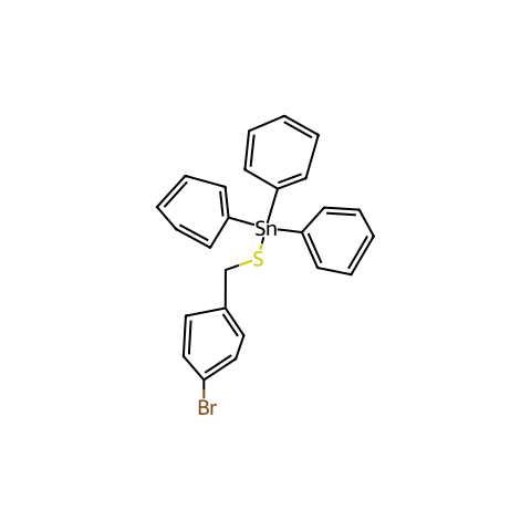 Brc1ccc(C[S][Sn]([c]2ccccc2)([c]2ccccc2)[c]2ccccc2)cc1